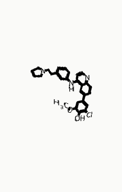 COc1cc(-c2ccc3nc[c]c(Nc4cccc(CCN5CCCC5)c4)c3c2)cc(Cl)c1O